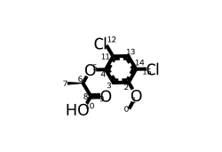 COc1cc(O[C@H](C)C(=O)O)c(Cl)cc1Cl